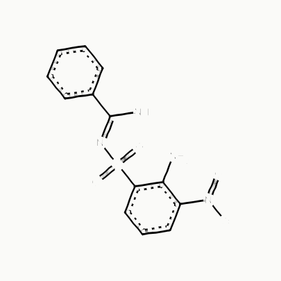 NC(=NS(=O)(=O)c1cccc([N+](=O)[O-])c1N)c1ccccc1